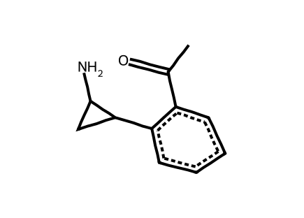 CC(=O)c1ccccc1C1CC1N